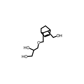 OCC(O)COCC1C2C=CC(CC2)C1CO